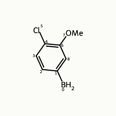 Bc1ccc(Cl)c(OC)c1